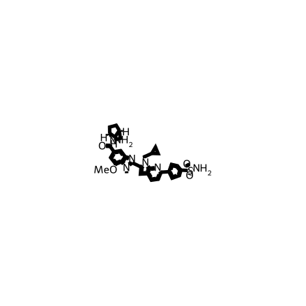 COc1cc(C(=O)N2C[C@H]3CC[C@@H]2[C@@H]3N)cc2nc(-c3cc4ccc(-c5ccc(S(N)(=O)=O)cc5)nc4n3CC3CC3)n(C)c12